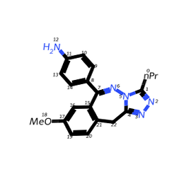 CCCc1nnc2n1N=C(c1ccc(N)cc1)c1cc(OC)ccc1C2